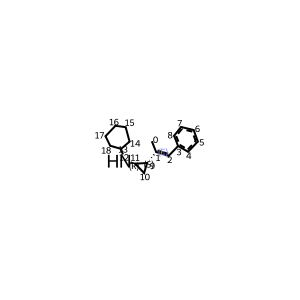 C/C(=C\c1ccccc1)[C@@H]1C[C@H]1NC1CCCCC1